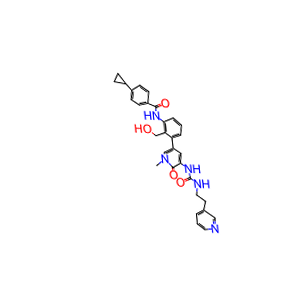 Cn1cc(-c2cccc(NC(=O)c3ccc(C4CC4)cc3)c2CO)cc(NC(=O)NCCc2cccnc2)c1=O